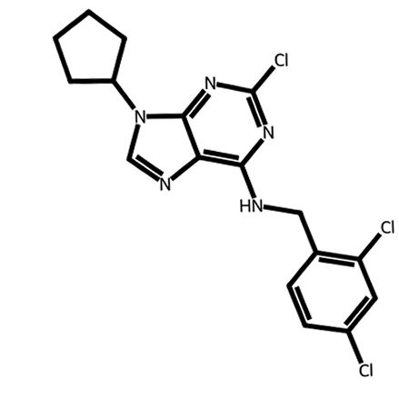 Clc1ccc(CNc2nc(Cl)nc3c2ncn3C2CCCC2)c(Cl)c1